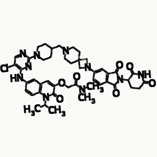 CC(C)n1c(=O)c(OCC(=O)N(C)C)cc2cc(Nc3nc(N4CCC(CN5CCC6(CC5)CN(c5ccc7c(c5)C(=O)N(C5CCC(=O)NC5=O)C7=O)C6)CC4)ncc3Cl)ccc21